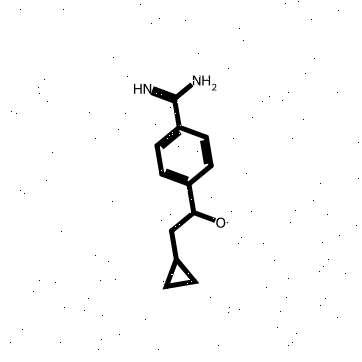 N=C(N)c1ccc(C([O])CC2CC2)cc1